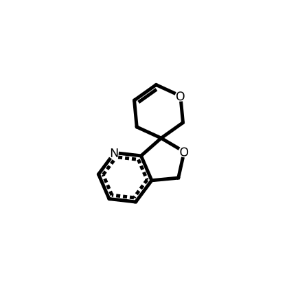 C1=COCC2(C1)OCc1cccnc12